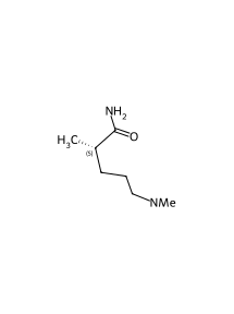 CNCCC[C@H](C)C(N)=O